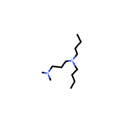 CCCCN(CCCC)CCCN(C)C